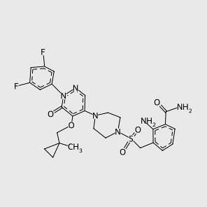 CC1(COc2c(N3CCN(S(=O)(=O)Cc4cccc(C(N)=O)c4N)CC3)cnn(-c3cc(F)cc(F)c3)c2=O)CC1